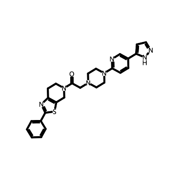 O=C(CN1CCN(c2ccc(-c3ccn[nH]3)cn2)CC1)N1CCc2nc(-c3ccccc3)sc2C1